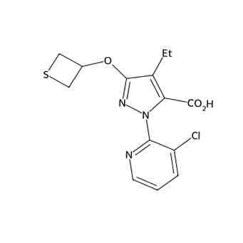 CCc1c(OC2CSC2)nn(-c2ncccc2Cl)c1C(=O)O